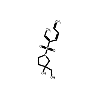 C=C/C=C\C(=C/C)S(=O)(=O)N1CCC(O)(CO)C1